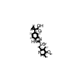 COc1c(C)cnc(C[S+]([O-])c2nc3cc(C4(C(=O)O)CC4)ccc3[nH]2)c1C